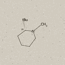 CN1CCCC[C@@H]1C(C)(C)C